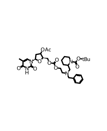 CC(=O)OC1C[C@H](n2cc(C)c(=O)[nH]c2=O)O[C@@H]1COC(=O)OCCN(Cc1ccccc1)CC1CCCCN1C(=O)OC(C)(C)C